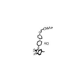 COCCO[C@H]1CC[C@H](N2CCC(n3c(=O)[nH]c4ccc(C)cc43)CC2)CC1.Cl